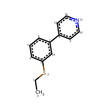 CCSc1cc[c]c(-c2ccncc2)c1